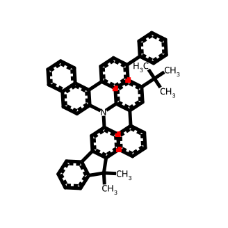 CC(C)(C)c1ccc(N(c2ccc3c(c2)-c2ccccc2C3(C)C)c2ccc3ccccc3c2-c2ccc(-c3ccccc3)cc2)c(-c2ccccc2)c1